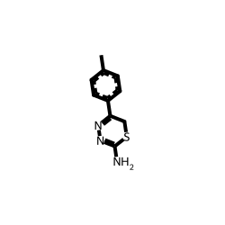 Cc1ccc(C2=NN=C(N)SC2)cc1